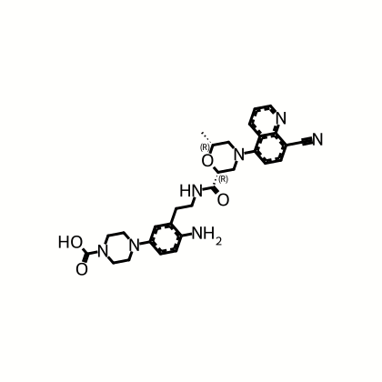 C[C@@H]1CN(c2ccc(C#N)c3ncccc23)C[C@H](C(=O)NCCc2cc(N3CCN(C(=O)O)CC3)ccc2N)O1